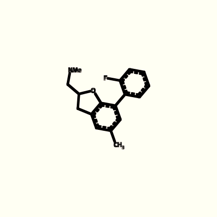 CNCC1Cc2cc(C)cc(-c3ccccc3F)c2O1